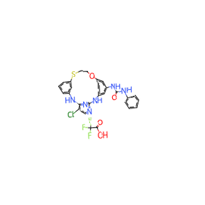 O=C(Nc1ccccc1)Nc1cc2cc(c1)OCCSc1cccc(c1)Nc1nc(ncc1Cl)N2.O=C(O)C(F)(F)F